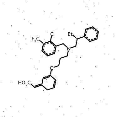 CC[C@H](CN(CCCOC1=CC(=CC(=O)O)CC=C1)Cc1cccc(C(F)(F)F)c1Cl)c1ccccc1